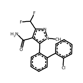 Cn1nc(C(F)F)c(C(N)=O)c1-c1ccccc1-c1ccccc1Cl